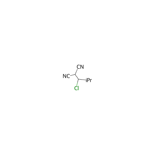 CC(C)C(Cl)C(C#N)C#N